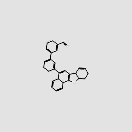 N=CC1=CC(C2=CCCC(C3=CC4=C(OC5CCC=CC45)C4C=CC=CC34)=C2)=CCC1